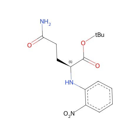 CC(C)(C)OC(=O)[C@H](CCC(N)=O)Nc1ccccc1[N+](=O)[O-]